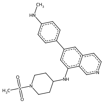 CNc1ccc(-c2cc(NC3CCN(S(C)(=O)=O)CC3)c3cnccc3c2)cc1